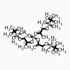 CC(CO[Si](C)(C)C(C)(C)C)OP(=O)(OC(C)CO[Si](C)(C)C(C)(C)C)OC(C)CO[Si](C)(C)C(C)(C)C